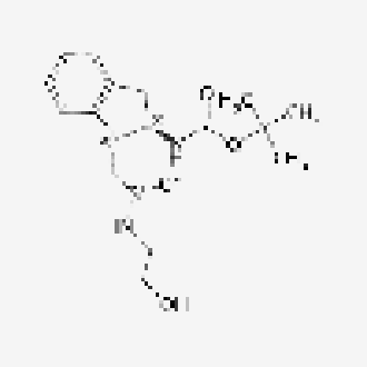 CC(C)(C)OC(=O)N[C@@H]1Cc2ccccc2[C@H]1C[S+]([O-])NCCO